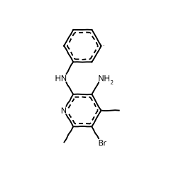 Cc1nc(Nc2c[c]ccc2)c(N)c(C)c1Br